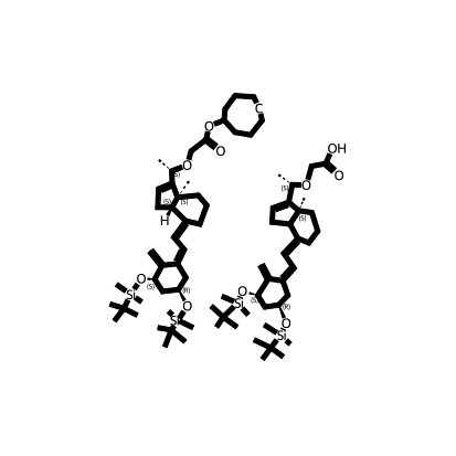 C=C1C(=CC=C2CCC[C@]3(C)C([C@H](C)OCC(=O)O)=CCC23)C[C@@H](O[Si](C)(C)C(C)(C)C)C[C@@H]1O[Si](C)(C)C(C)(C)C.C=C1C(=CC=C2CCC[C@]3(C)C([C@H](C)OCC(=O)OC4CCCCCCC4)=CC[C@@H]23)C[C@@H](O[Si](C)(C)C(C)(C)C)C[C@@H]1O[Si](C)(C)C(C)(C)C